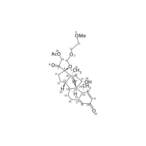 COCCOCO[C@]1(C(=O)COC(C)=O)CC[C@H]2[C@@H]3CCC4=CC(=O)C=C[C@]4(C)[C@@]3(Br)[C@@H](O)C[C@@]21C